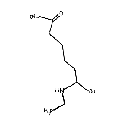 CC(C)(C)C(=O)CCCCC(NCP)C(C)(C)C